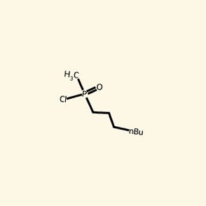 CCCCCCCP(C)(=O)Cl